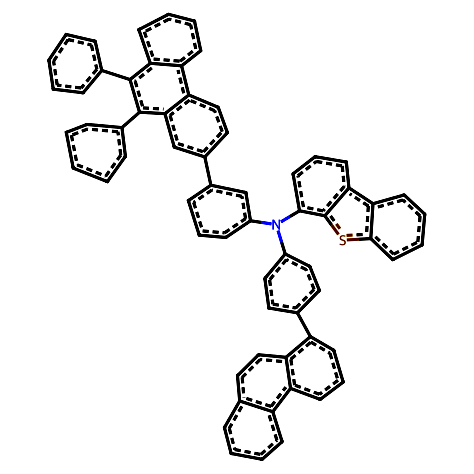 c1ccc(-c2c(-c3ccccc3)c3cc(-c4cccc(N(c5ccc(-c6cccc7c6ccc6ccccc67)cc5)c5cccc6c5sc5ccccc56)c4)ccc3c3ccccc23)cc1